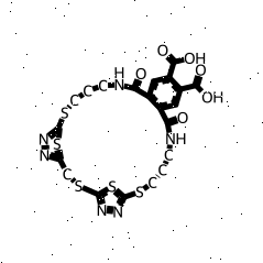 O=C(O)c1cc2c(cc1C(=O)O)C(=O)NCCCSc1nnc(s1)SCc1nnc(s1)SCCCNC2=O